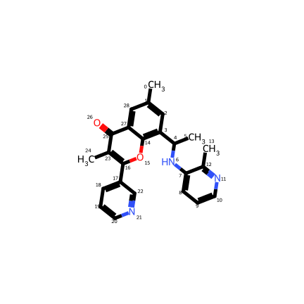 Cc1cc(C(C)Nc2cccnc2C)c2oc(-c3cccnc3)c(C)c(=O)c2c1